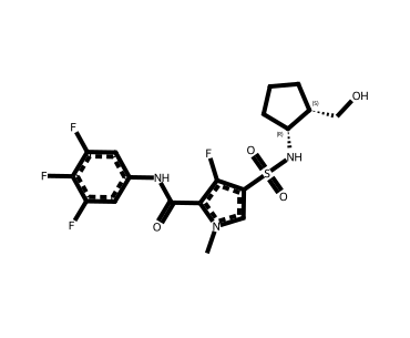 Cn1cc(S(=O)(=O)N[C@@H]2CCC[C@@H]2CO)c(F)c1C(=O)Nc1cc(F)c(F)c(F)c1